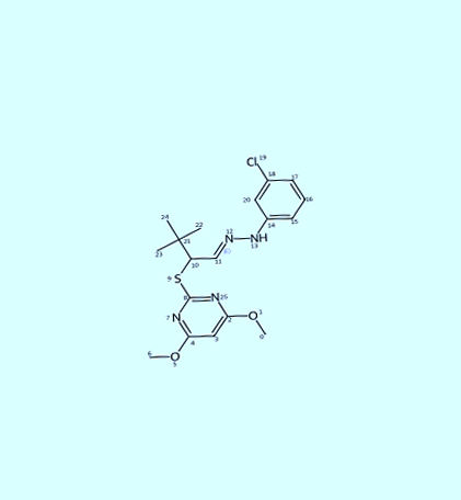 COc1cc(OC)nc(SC(/C=N/Nc2cccc(Cl)c2)C(C)(C)C)n1